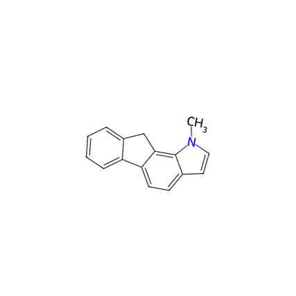 Cn1ccc2ccc3c(c21)Cc1ccccc1-3